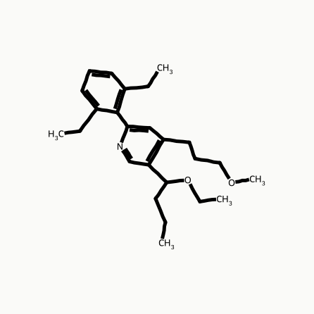 CCCC(OCC)c1cnc(-c2c(CC)cccc2CC)cc1CCCOC